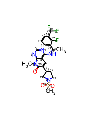 C[C@@H](Nc1ncnc2c1cc(C1CCN(S(C)(=O)=O)C1)c(=O)n2C)c1cccc(C(F)F)c1F